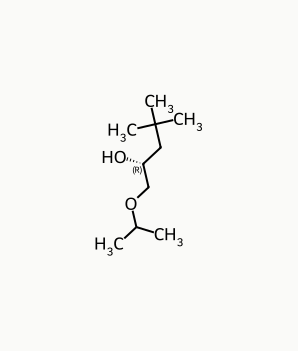 CC(C)OC[C@H](O)CC(C)(C)C